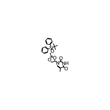 Cc1cn(C2CO[C@@H](CO[Si](c3ccccc3)(c3ccccc3)C(C)(C)C)O2)c(=O)[nH]c1=O